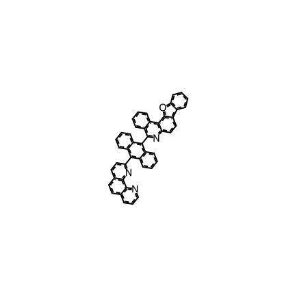 c1cnc2c(c1)ccc1ccc(-c3c4ccccc4c(-c4nc5ccc6c7ccccc7oc6c5c5ccccc45)c4ccccc34)nc12